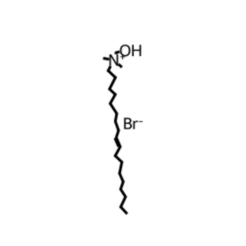 CCCCCCCCC=CCCCCCCCC[N+](C)(C)CO.[Br-]